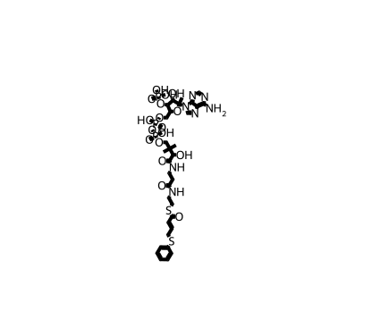 CC(C)(COP(=O)(O)OP(=O)(O)OCC1OC(C)(n2cnc3c(N)ncnc32)C(O)C1OP(=O)(O)O)C(O)C(=O)NCCC(=O)NCCSC(=O)C=CCSc1ccccc1